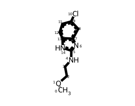 COCCNc1nc2cc(Cl)ccc2[nH]1